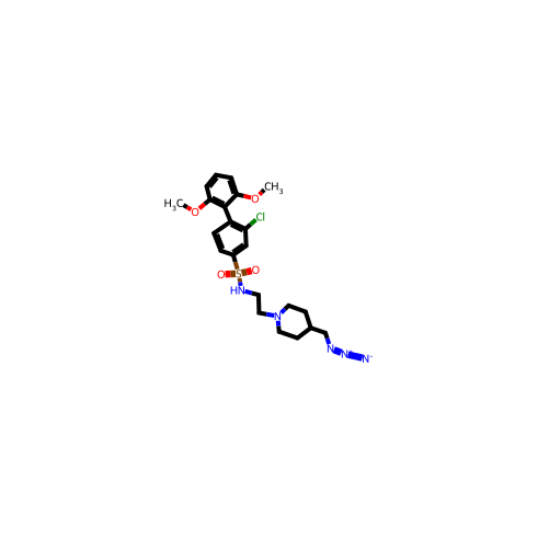 COc1cccc(OC)c1-c1ccc(S(=O)(=O)NCCN2CCC(CN=[N+]=[N-])CC2)cc1Cl